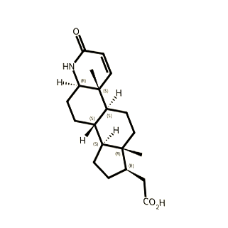 C[C@]12C=CC(=O)N[C@@H]1CC[C@@H]1[C@@H]2CC[C@]2(C)[C@@H](CC(=O)O)CC[C@@H]12